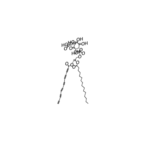 C#CC#CC#CC#CC#CC#CC(=O)OC[C@H](COP(=O)(O)OC1C(O)[C@@H](OP(=O)(O)O)C(O)[C@@H](O)[C@H]1O)OC(=O)CCCCCCCCCCCCCCC